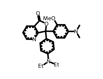 CCN(CC)c1ccc(C2(c3ccc(N(C)C)cc3OC)OC(=O)c3cccnc32)cc1